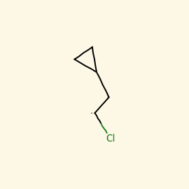 Cl[CH]CC1CC1